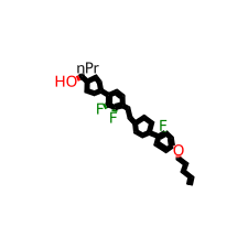 C=CCCCOc1ccc(C2CCC(CCc3ccc(C4CCC(C(O)CCC)CC4)c(F)c3F)CC2)c(F)c1